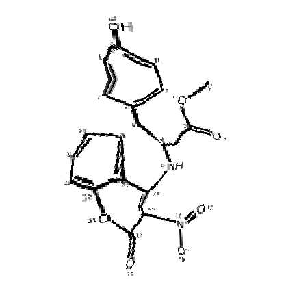 COC(=O)[C@H](Cc1ccc(O)cc1)Nc1c([N+](=O)[O-])c(=O)oc2ccccc12